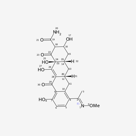 CO/N=C(\C)c1ccc(O)c2c1C[C@H]1C[C@H]3CC(O)C(C(N)=O)C(=O)[C@@]3(O)C(O)=C1C2=O